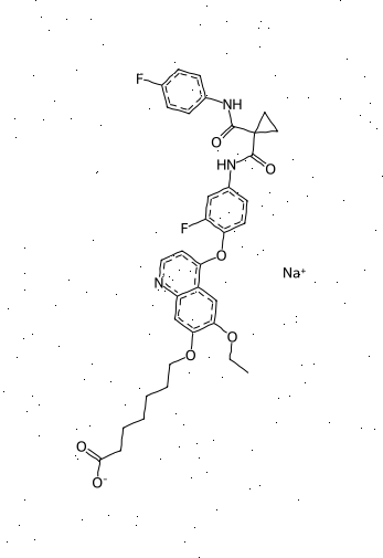 CCOc1cc2c(Oc3ccc(NC(=O)C4(C(=O)Nc5ccc(F)cc5)CC4)cc3F)ccnc2cc1OCCCCCCC(=O)[O-].[Na+]